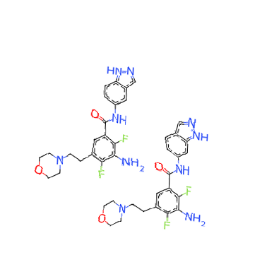 Nc1c(F)c(CCN2CCOCC2)cc(C(=O)Nc2ccc3[nH]ncc3c2)c1F.Nc1c(F)c(CCN2CCOCC2)cc(C(=O)Nc2ccc3cn[nH]c3c2)c1F